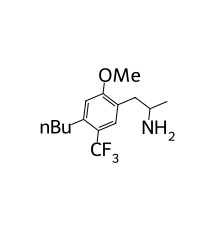 CCCCc1cc(OC)c(CC(C)N)cc1C(F)(F)F